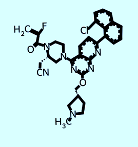 C=C(F)C(=O)N1CCN(c2nc(OC[C@@H]3CCN(C)C3)nc3nc(-c4cccc5cccc(Cl)c45)ccc23)C[C@@H]1CC#N